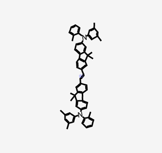 Cc1cc(C)cc(N(c2ccc3c(c2)C(C)(C)c2cc(/C=C/c4ccc5c(c4)C(C)(C)c4cc(N(c6cc(C)cc(C)c6)c6ccccc6C)ccc4-5)ccc2-3)c2ccccc2C)c1